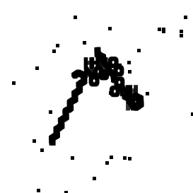 CCCCCCCCCCCCCCCC(CC)NC(=O)OOC(C(=O)NCCC)C(COC(=O)NCc1ccccn1)OC